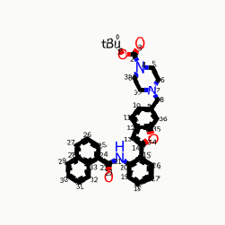 CC(C)(C)OC(=O)N1CCN(Cc2ccc3cc(-c4ccccc4NC(=O)c4cccc5ccccc45)oc3c2)CC1